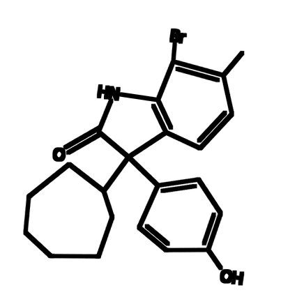 Cc1ccc2c(c1Br)NC(=O)C2(c1ccc(O)cc1)C1CCCCCC1